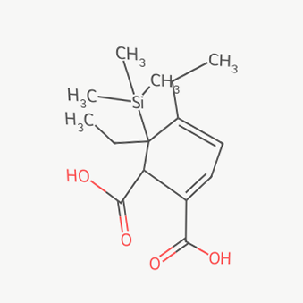 CCC1=CC=C(C(=O)O)C(C(=O)O)C1(CC)[Si](C)(C)C